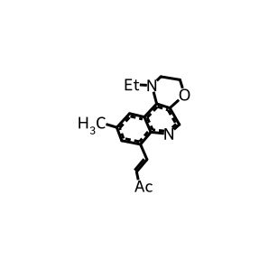 CCN1CCOc2cnc3c(/C=C/C(C)=O)cc(C)cc3c21